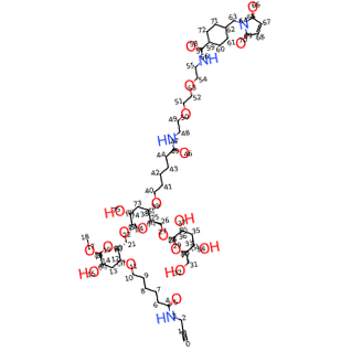 C#CCNC(=O)CCCCCO[C@H]1C[C@@H](O)[C@@H](OC)O[C@@H]1CO[C@H]1O[C@H](CO[C@H]2O[C@H](CO)[C@@H](O)C[C@H]2O)[C@@H](OCCCCCC(=O)NCCOCCOCCNC(=O)C2CCC(CN3C(=O)C=CC3=O)CC2)C[C@H]1O